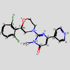 Cn1c(N2CCO[C@H](c3c(F)cccc3F)C2)nc(-c2ccncc2)cc1=O